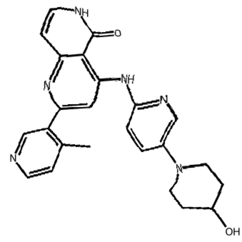 Cc1ccncc1-c1cc(Nc2ccc(N3CCC(O)CC3)cn2)c2c(=O)[nH]ccc2n1